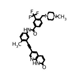 Cc1ccc(NC(=O)c2ccc(CN3CCN(C)CC3)c(C(F)(F)F)c2)cc1C#Cc1cnc2[nH]c(=O)ccc2c1